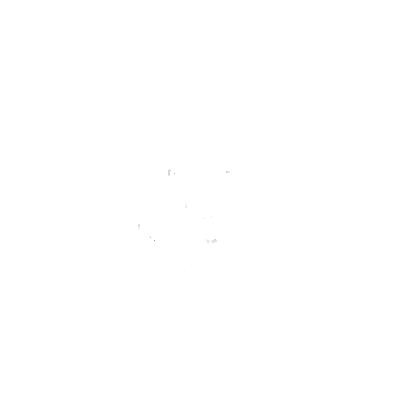 COCCCc1ccc(-c2onc([C@H]3C(C(C)(C)C)N(C(=O)O)CC[C@]3(O)c3ccc(F)c(F)c3)c2Br)c(CCNC(C)=O)c1